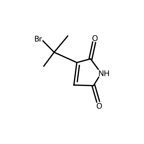 CC(C)(Br)C1=CC(=O)NC1=O